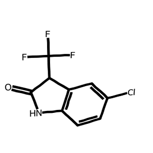 O=C1Nc2ccc(Cl)cc2C1C(F)(F)F